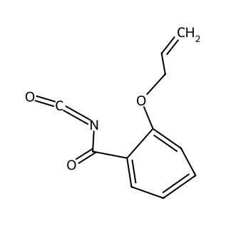 C=CCOc1ccccc1C(=O)N=C=O